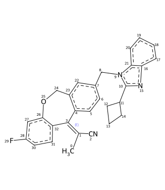 C/C(C#N)=C1/c2ccc(Cn3c(C4CCC4)nc4ccccc43)cc2COc2cc(F)ccc21